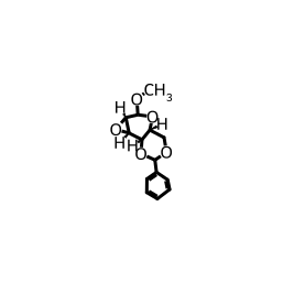 COC1O[C@@H]2COC(c3ccccc3)O[C@@H]2[C@@H]2O[C@H]12